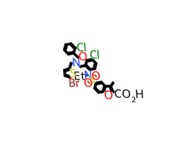 CCN(c1ccc(Cl)cc1CN(Cc1ccc(Br)s1)C(=O)c1ccccc1Cl)S(=O)(=O)c1ccc2oc(C(=O)O)c(C)c2c1